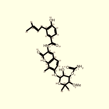 COC1C(OC(N)=O)C(O)C(Oc2ccc3cc(NC(=O)c4ccc(O)c(CC=C(C)C)c4)c(=O)oc3c2C)OC1(C)C